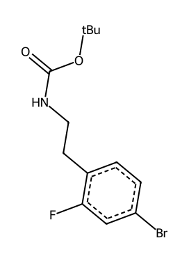 CC(C)(C)OC(=O)NCCc1ccc(Br)cc1F